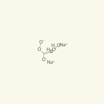 O.O.O=C([O-])O[O-].[Na+].[Na+]